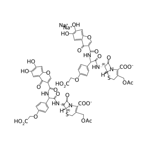 CC(=O)OCC1=C(C(=O)[O-])N2C(=O)[C@@H](NC(=O)C(NC(=O)c3coc4cc(O)c(O)cc4c3=O)c3ccc(OCC(=O)O)cc3)[C@H]2SC1.CC(=O)OCC1=C(C(=O)[O-])N2C(=O)[C@@H](NC(=O)C(NC(=O)c3coc4cc(O)c(O)cc4c3=O)c3ccc(OCC(=O)O)cc3)[C@H]2SC1.[Na+].[Na+]